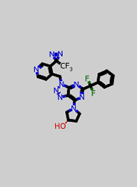 O[C@H]1CCN(c2nc(C(F)(F)c3ccccc3)nc3c2nnn3Cc2ccncc2C2(C(F)(F)F)N=N2)C1